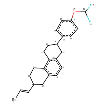 CCC=CC1CCc2c(ccc3c2CCC(c2ccc(OC(F)F)cc2)C3)C1